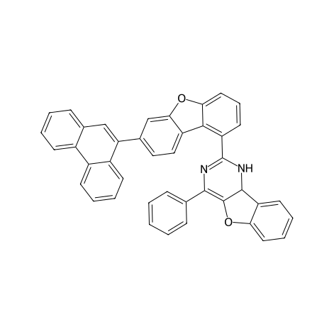 c1ccc(C2=C3Oc4ccccc4C3NC(c3cccc4oc5cc(-c6cc7ccccc7c7ccccc67)ccc5c34)=N2)cc1